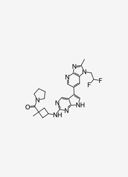 Cc1nc2ncc(-c3c[nH]c4nc(NC5CC(C)(C(=O)N6CCCC6)C5)ncc34)cc2n1CC(F)F